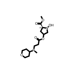 COC(=O)[C@@H]1CC(OC(=O)CCN(C)C2CCOCC2)CN1O